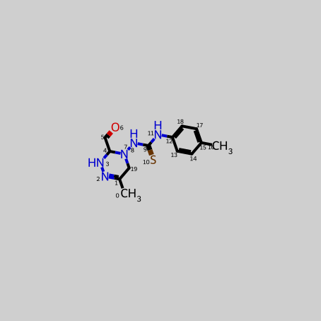 CC1=NNC(C=O)N(NC(=S)Nc2ccc(C)cc2)C1